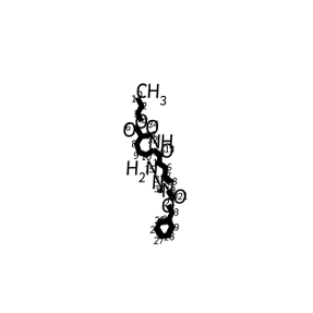 CCCCOC(=O)C1CCCC(C(=O)[C@@H](N)Cc2cn(C(=O)OCc3ccccc3)cn2)NC1=O